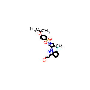 CC(C)Oc1ccc(S(=O)(=O)N2C[C@@H](C)[C@@H](n3nc(CC=O)c4cccc(F)c43)C2)cc1